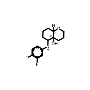 O[C@]12CCCO[C@H]1CCCC2Nc1ccc(F)c(F)c1